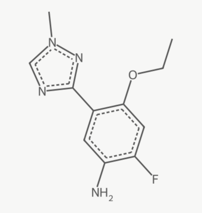 CCOc1cc(F)c(N)cc1-c1ncn(C)n1